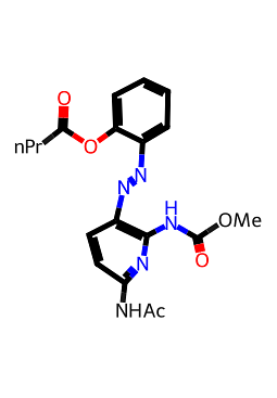 CCCC(=O)Oc1ccccc1/N=N/c1ccc(NC(C)=O)nc1NC(=O)OC